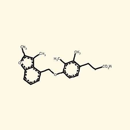 Cc1oc2cccc(COc3ccc(CCC(=O)O)c(C)c3C)c2c1C